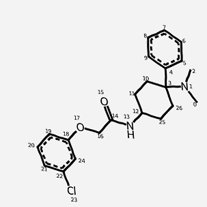 CN(C)C1(c2ccccc2)CCC(NC(=O)COc2cccc(Cl)c2)CC1